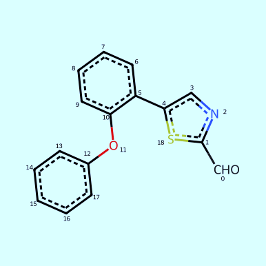 O=Cc1ncc(-c2ccccc2Oc2ccccc2)s1